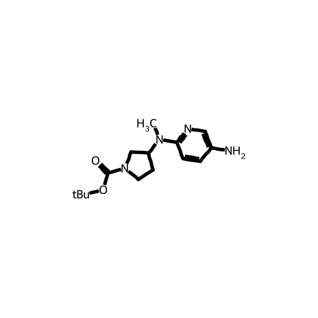 CN(c1ccc(N)cn1)C1CCN(C(=O)OC(C)(C)C)C1